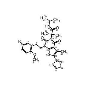 COc1ccc(F)cc1CCn1c(=O)n(C(C)(C)C(=O)NC(C)C)c(=O)c2c(C)c(-n3nccn3)sc21